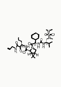 C=CCNC(=O)C(=O)[C@@H](CCC)NC(=O)[C@@H]1[C@@H]2[C@H](CN1C(=O)[C@@H](NC(=O)N[C@H](CN(C)S(=O)(=O)N(C)C)C(C)C)C1CCCCC1)C2(C)C